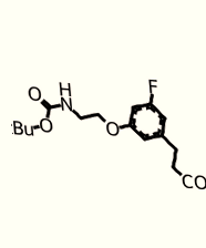 CC(C)(C)OC(=O)NCCOc1cc(F)cc(CCC(=O)O)c1